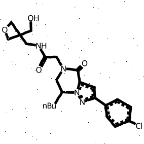 CCCCC1CN(CC(=O)NCC2(CO)COC2)C(=O)c2cc(-c3ccc(Cl)cc3)nn21